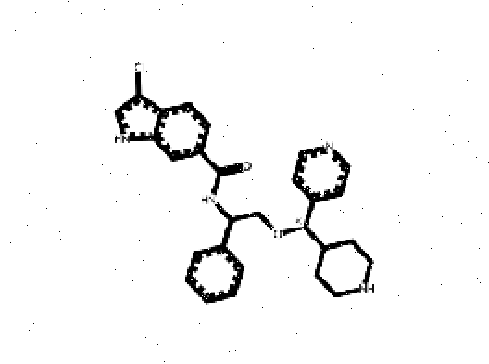 O=C(NC(CO[C@@H](c1ccncc1)C1CCNCC1)c1ccccc1)c1ccc2c(Cl)c[nH]c2c1